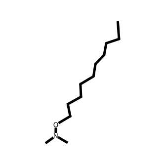 CCCCCCCCCCON(C)C